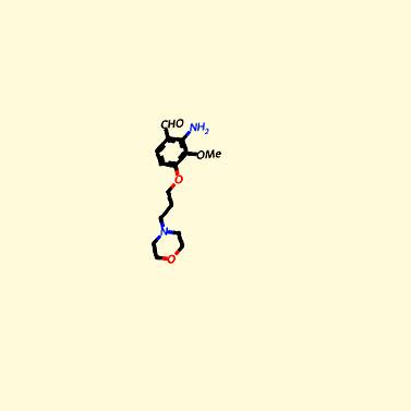 COc1c(OCCCN2CCOCC2)ccc(C=O)c1N